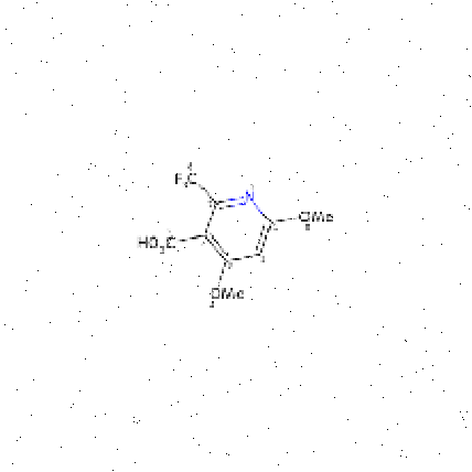 COc1cc(OC)c(C(=O)O)c(C(F)(F)F)n1